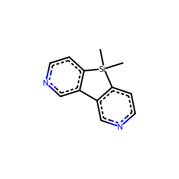 C[Si]1(C)c2ccncc2-c2cnccc21